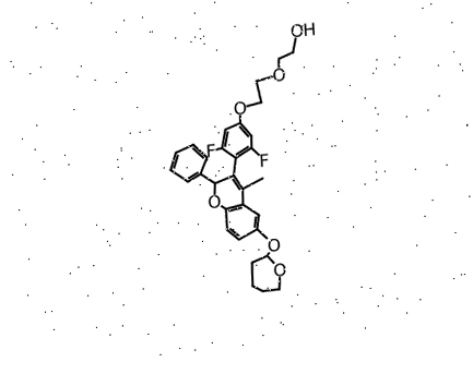 CC1=C(c2c(F)cc(OCCOCCO)cc2F)C(c2ccccc2)Oc2ccc(OC3CCCCO3)cc21